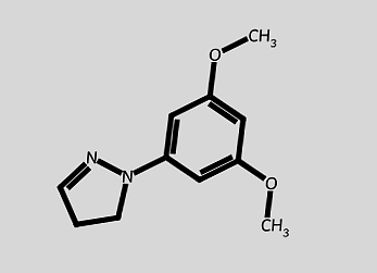 COc1cc(OC)cc(N2CCC=N2)c1